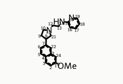 COc1ccc2ccc(C3CCN(CCNc4ccccn4)C3)cc2c1